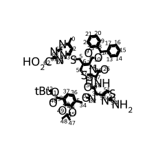 Cc1cc(SCC2=C(C(=O)OC(c3ccccc3)c3ccccc3)N3C(=O)[C@@H](NC(=O)/C(=N\OCc4ccc(C(=O)OC(C)(C)C)c5c4OC(C)(C)O5)c4csc(N)n4)[C@H]3SC2)n2nc(C(=O)O)nc2n1